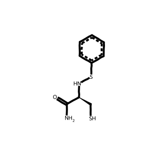 NC(=O)[C@H](CS)NSc1ccccc1